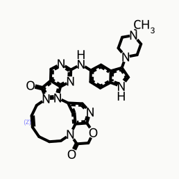 CN1CCN(c2c[nH]c3ccc(Nc4ncc5c(=O)n6n(c5n4)-c4cnc5c(c4)N(CCC/C=C\C6)C(=O)CO5)cc23)CC1